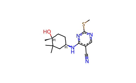 CSc1ncc(C#N)c(N[C@@H]2CC[C@@](C)(O)C(C)(C)C2)n1